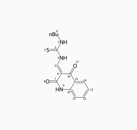 CCCCNC(=S)NC=C1C(=O)Nc2ccccc2C1=O